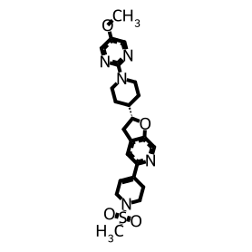 COc1cnc(N2CCC([C@H]3Cc4cc(C5=CCN(S(C)(=O)=O)CC5)ncc4O3)CC2)nc1